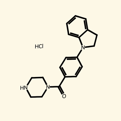 Cl.O=C(c1ccc(N2CCc3ccccc32)cc1)N1CCNCC1